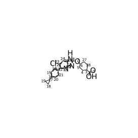 O=C(O)C1CCC(Oc2nc3nc(-c4ccc(C5CC5)cc4)c(Cl)cc3[nH]2)CC1